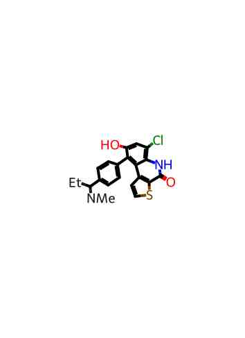 CCC(NC)c1ccc(-c2c(O)cc(Cl)c3[nH]c(=O)c4sccc4c23)cc1